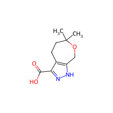 CC1(C)CCc2c(C(=O)O)n[nH]c2CO1